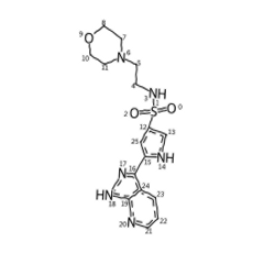 O=S(=O)(NCCN1CCOCC1)c1c[nH]c(-c2n[nH]c3ncccc23)c1